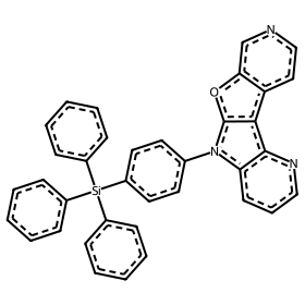 c1ccc([Si](c2ccccc2)(c2ccccc2)c2ccc(-n3c4cccnc4c4c5ccncc5oc43)cc2)cc1